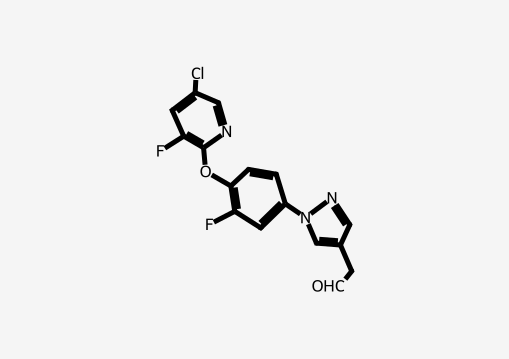 O=CCc1cnn(-c2ccc(Oc3ncc(Cl)cc3F)c(F)c2)c1